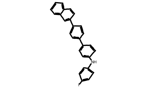 Ic1ccc(Nc2ccc(-c3ccc(-c4ccc5ccccc5c4)cc3)cc2)cc1